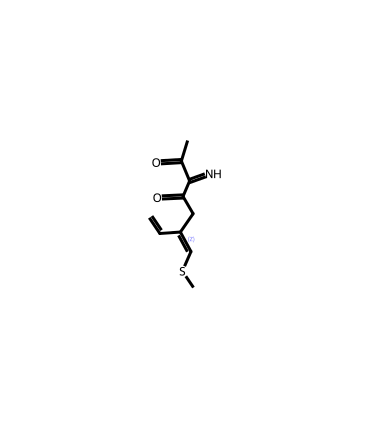 C=C/C(=C\SC)CC(=O)C(=N)C(C)=O